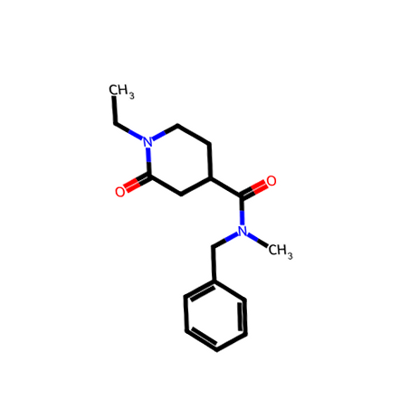 CCN1CCC(C(=O)N(C)Cc2ccccc2)CC1=O